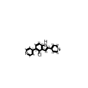 Clc1c(-c2ccncc2)ccc2[nH]c(-c3ccncc3)cc12